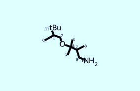 CC(COC(C)(C)C(C)CN)C(C)(C)C